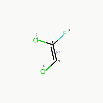 F/C(Cl)=C/Cl